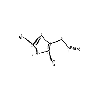 CCCCCCc1cc(Br)sc1F